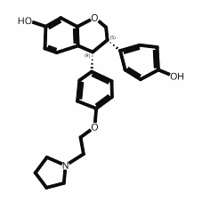 Oc1ccc([C@H]2COc3cc(O)ccc3[C@H]2c2ccc(OCCN3CCCC3)cc2)cc1